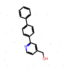 OCc1ccnc(-c2ccc(-c3ccccc3)cc2)c1